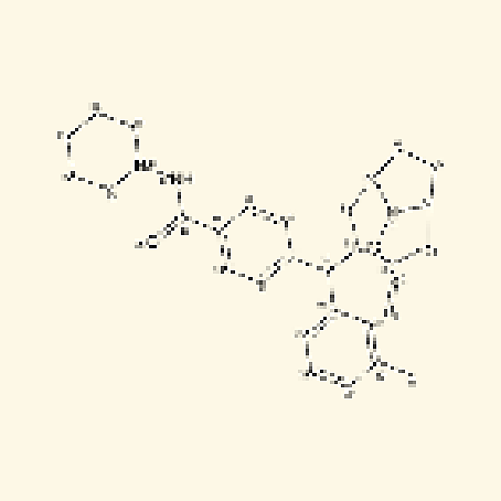 C=CCN1C2CCC1CN(C(c1ccc(C(=O)NN3CCCCC3)cc1)c1cccc(C)c1)CC2